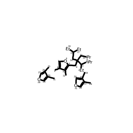 CCCC(CC)C(Cc1occ(C)c1C)(CC(C)C)CC(CC)CC.Cc1cocc1C.Cc1cocc1C